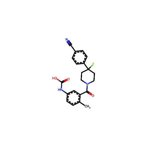 Cc1ccc(NC(=O)O)cc1C(=O)N1CCC(F)(c2ccc(C#N)cc2)CC1